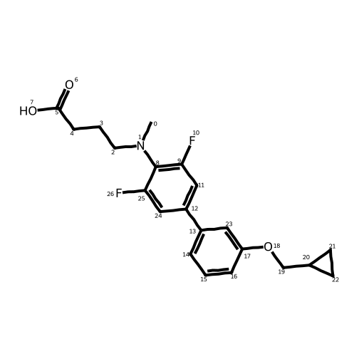 CN(CCCC(=O)O)c1c(F)cc(-c2cccc(OCC3CC3)c2)cc1F